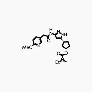 CCN(C)C(=O)O[C@H]1CC[C@@H](c2cc(NC(=O)Cc3ccc(OC)nc3)n[nH]2)C1